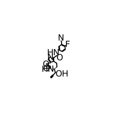 C#C[C@@H](O)[C@@H]1CCc2c(cn(C)c2C(=O)Nc2ccc(F)c(C#N)c2)S(=O)(=O)N1